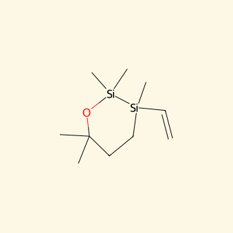 C=C[Si]1(C)CCC(C)(C)O[Si]1(C)C